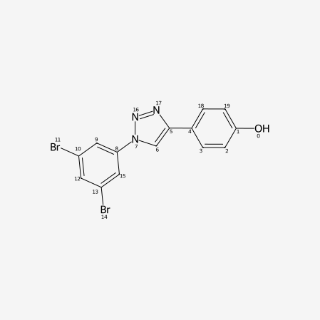 Oc1ccc(-c2cn(-c3cc(Br)cc(Br)c3)nn2)cc1